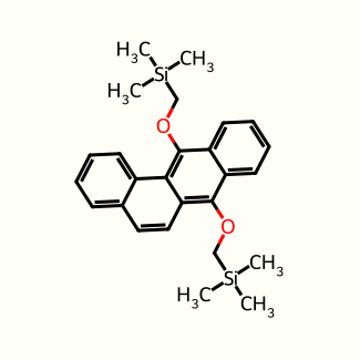 C[Si](C)(C)COc1c2ccccc2c(OC[Si](C)(C)C)c2c1ccc1ccccc12